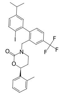 Cc1ccccc1[C@@H]1CCN(Cc2cc(C(F)(F)F)ccc2-c2cc(C(C)C)ccc2I)C(=O)O1